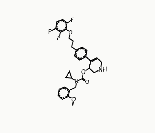 COc1ccccc1CN(C(=O)OC1CNCC=C1c1ccc(CCCOc2c(F)ccc(F)c2F)cc1)C1CC1